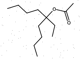 CCCCC(CC)(CCCC)OC(C)=O